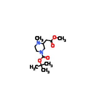 COC(=O)CC1CN(C(=O)OC(C)(C)C)CCN1C